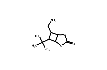 CC(C)(C)C1C(CN)C2OC(=O)OC21